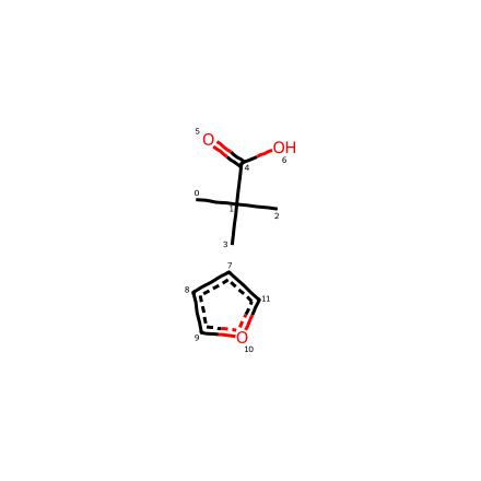 CC(C)(C)C(=O)O.c1ccoc1